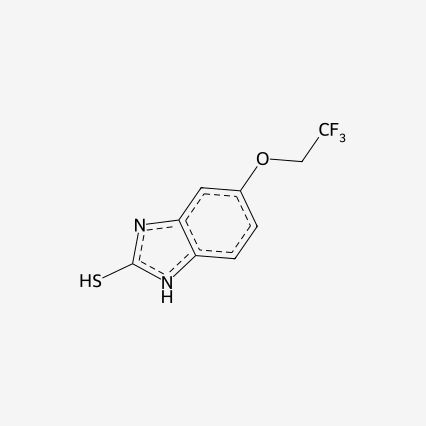 FC(F)(F)COc1ccc2[nH]c(S)nc2c1